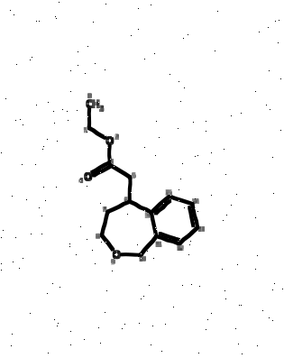 CCOC(=O)CC1CCOCc2ccccc21